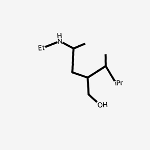 CCNC(C)CC(CO)C(C)C(C)C